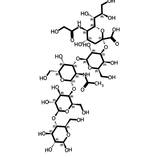 CC(=O)N[C@H]1[C@H](O[C@@H]2[C@H](O)[C@@H](O)[C@H](O[C@H]3[C@H](O)[C@@H](O)[C@H](O)O[C@@H]3CO)O[C@@H]2CO)O[C@H](CO)[C@H](O)[C@@H]1O[C@@H]1O[C@H](CO)[C@H](O)[C@H](O[C@]2(C(=O)O)C[C@H](O)[C@@H](NC(=O)CO)[C@H]([C@H](O)[C@H](O)CO)O2)[C@H]1O